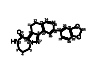 O=C1NCCCn2nc3c(c21)CCc1cnc(-c2ccc4c(c2)OCO4)cc1-3